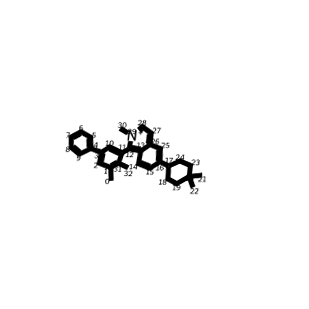 Cc1cc(-c2ccccc2)cc(-c2c3ccc(C4CCC(C)(C)CC4)cc3cc[n+]2C)c1C